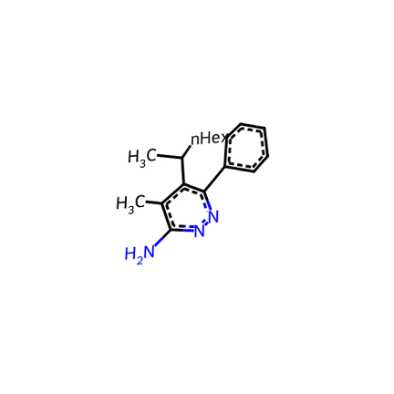 CCCCCCC(C)c1c(-c2ccccc2)nnc(N)c1C